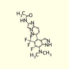 CC(=O)Nc1cn2nc(-c3c(C(F)(F)F)c(F)c(N(C)C)c4[nH]ncc34)ccc2n1